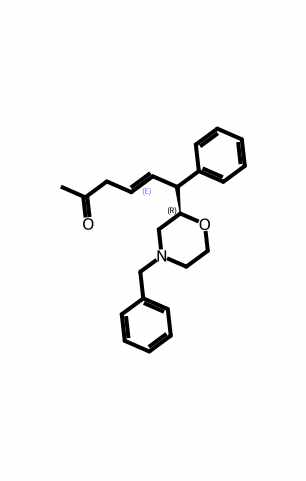 CC(=O)C/C=C/C(c1ccccc1)[C@@H]1CN(Cc2ccccc2)CCO1